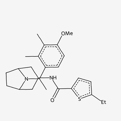 CCc1ccc(C(=O)NC2CC3CCC(C2)N3C(C)c2ccc(OC)c(C)c2C)s1